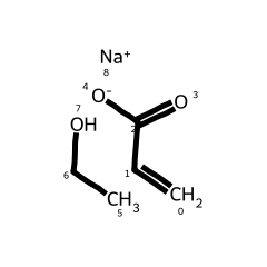 C=CC(=O)[O-].CCO.[Na+]